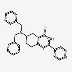 O=c1[nH]c(-c2ccncc2)nc2c1CC(N(Cc1ccccc1)Cc1ccccc1)CC2